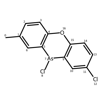 Cc1ccc2c(c1)[As](Cl)c1cc(Cl)ccc1O2